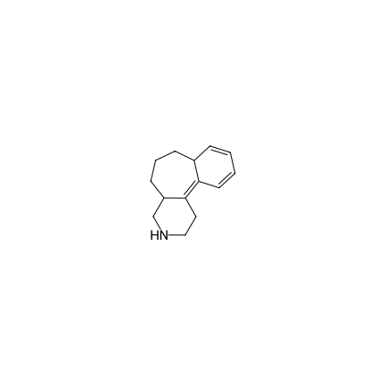 C1=CC2=C3CCNCC3CCCC2C=C1